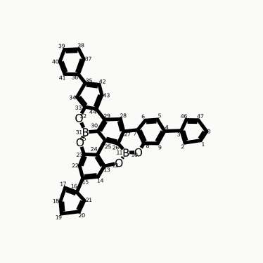 c1ccc(-c2ccc3c(c2)OB2Oc4cc(-c5ccccc5)cc5c4-c4c2c-3cc2c4B(Oc3cc(-c4ccccc4)ccc3-2)O5)cc1